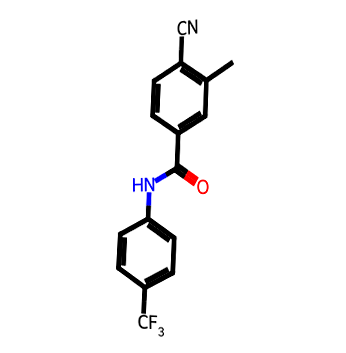 Cc1cc(C(=O)Nc2ccc(C(F)(F)F)cc2)ccc1C#N